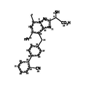 CCCc1nc(C)n2nc(C(S)C(=O)O)nc2c1Cc1ccc(-c2ccccc2C#N)cc1